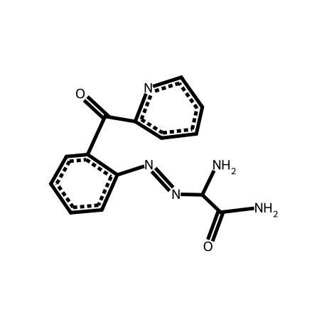 NC(=O)C(N)N=Nc1ccccc1C(=O)c1ccccn1